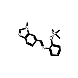 Cn1cnc2ccc(/C=N/c3ccccc3O[Si](C)(C)C)cc21